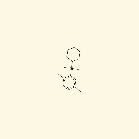 Cc1ccc(C)c([Si](C)(C)C2CCCCC2)c1